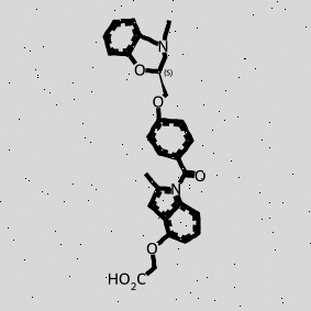 Cc1cc2c(OCC(=O)O)cccc2n1C(=O)c1ccc(OC[C@@H]2CN(C)c3ccccc3O2)cc1